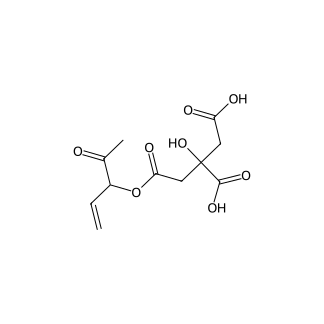 C=CC(OC(=O)CC(O)(CC(=O)O)C(=O)O)C(C)=O